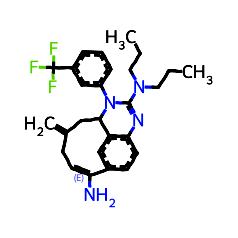 C=C1C/C=C(/N)c2ccc3c(c2)C(C1)N(c1cccc(C(F)(F)F)c1)C(N(CCC)CCC)=N3